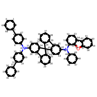 c1ccc(-c2ccc(N(c3ccc(-c4ccccc4)cc3)c3ccc4c(c3)-c3ccccc3C43c4ccccc4-c4cc(N(c5ccccc5)c5cccc6c5oc5ccccc56)ccc43)cc2)cc1